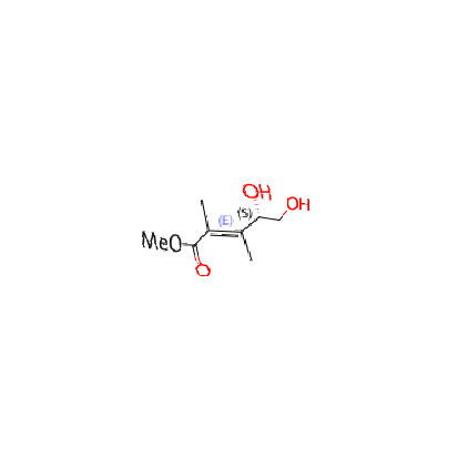 COC(=O)/C(C)=C(\C)[C@H](O)CO